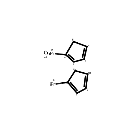 CC(C)C1=CC=CC1.CC(C)C1=CC=CC1.[Cr]